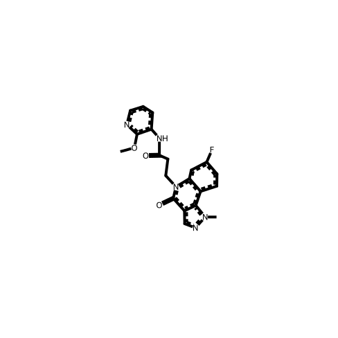 COc1ncccc1NC(=O)CCn1c(=O)c2cnn(C)c2c2ccc(F)cc21